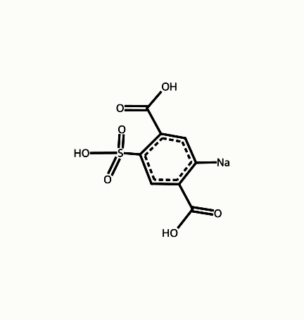 O=C(O)c1cc(S(=O)(=O)O)c(C(=O)O)c[c]1[Na]